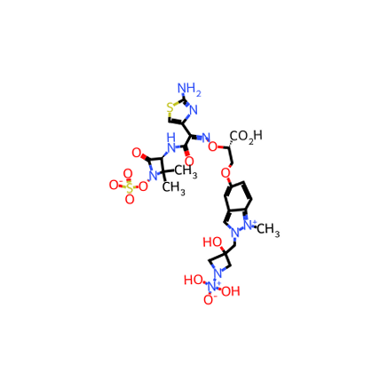 C[n+]1c2ccc(OC[C@H](O/N=C(\C(=O)N[C@@H]3C(=O)N(OS(=O)(=O)[O-])C3(C)C)c3csc(N)n3)C(=O)O)cc2cn1CC1(O)CN([N+]([O-])(O)O)C1